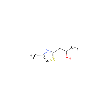 Cc1csc(CC(C)O)n1